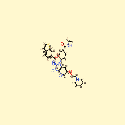 CC(C)NC(=O)C1CCC(n2/c(=N\C(=O)c3ccc4ccsc4c3)[nH]c3ncc(OCCN4CCCCC4)cc32)CC1